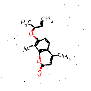 C=CC(C)Oc1ccc2c(C)cc(=O)oc2c1C(C)=O